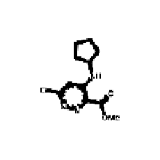 COC(=O)c1nnc(Cl)cc1NC1CCCC1